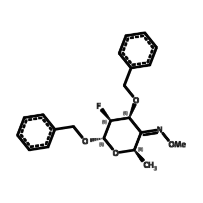 CON=C1[C@@H](C)O[C@H](OCc2ccccc2)[C@@H](F)[C@H]1OCc1ccccc1